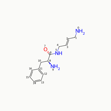 NC/C=C/CNC(=O)[C@@H](N)Cc1ccccc1